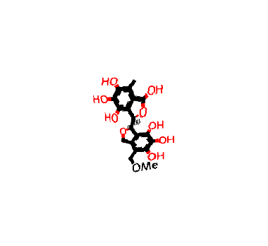 COCc1c(O)c(O)c(O)c2c1CO[C@H]2[C@H]1OC(O)c2c(C)c(O)c(O)c(O)c21